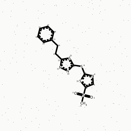 CS(=O)(=O)c1cnc(Sc2nnc(CCc3ccccc3)s2)s1